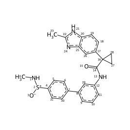 CN[S+]([O-])c1ccc(-c2cccc(NC(=O)C3(c4ccc5[nH]c(C)nc5c4)CC3)c2)cc1